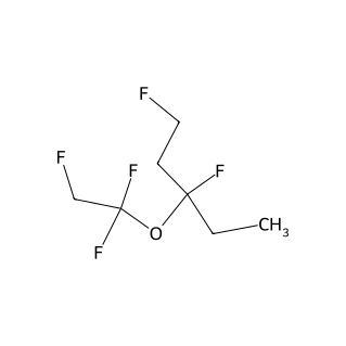 CCC(F)(CCF)OC(F)(F)CF